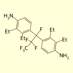 CCc1c(N)ccc(C(F)(c2ccc(N)c(CC)c2CC)C(F)(F)C(F)(F)F)c1CC